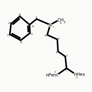 CCCCCCC(CCCCC)CCCCN(C)Cc1ccccc1